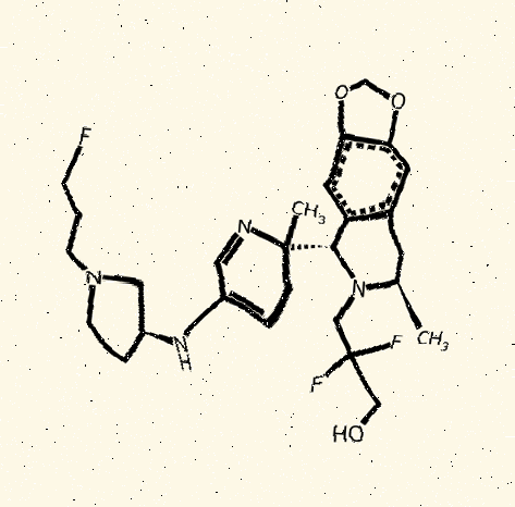 C[C@@H]1Cc2cc3c(cc2[C@@H](C2(C)CC=C(N[C@H]4CCN(CCCF)C4)C=N2)N1CC(F)(F)CO)OCO3